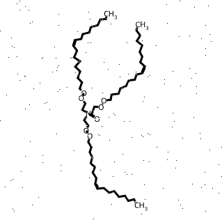 CCCCCCCC/C=C\CCCCCCCCOOCCN(CCOOCCCCCCCC/C=C\CCCCCCCC)C(=O)COOCCCCCCCC/C=C\CCCCCCCC